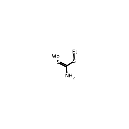 CCSC(N)=S.[Mo]